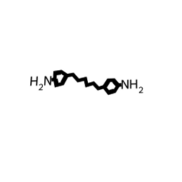 Nc1ccc(CCCCCCc2ccc(N)cc2)cc1